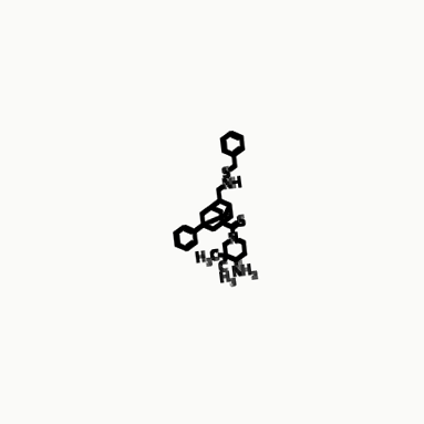 CC1(C)CN(C(=S)C23CC4CC(c5ccccc5)(CC(C2)C4CNSCc2ccccc2)C3)CC[C@@H]1N